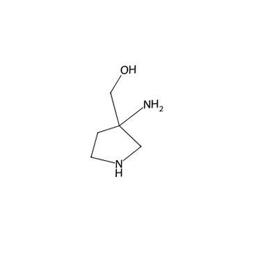 NC1(CO)CCNC1